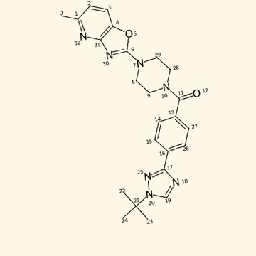 Cc1ccc2oc(N3CCN(C(=O)c4ccc(-c5ncn(C(C)(C)C)n5)cc4)CC3)nc2n1